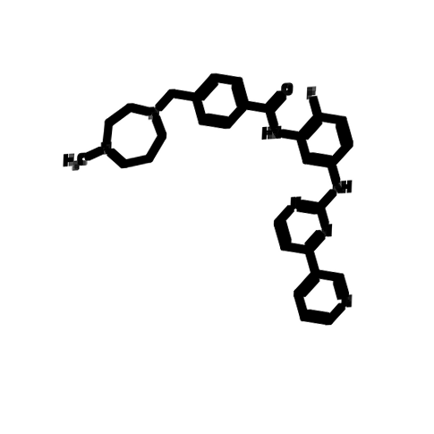 CN1CCCN(Cc2ccc(C(=O)Nc3cc(Nc4nccc(-c5cccnc5)n4)ccc3F)cc2)CC1